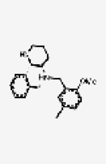 COc1ccc(C)cc1CN[C@H]1CCCN[C@H]1c1ccccc1F